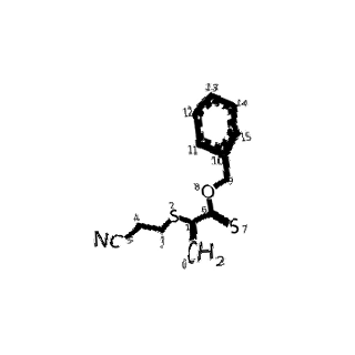 C=C(SCCC#N)C(=S)OCc1ccccc1